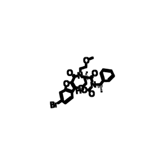 COCCN1C(=O)c2oc3cc(Br)ccc3c2OC[C@]1(C)C(=O)N(C(=O)O)[C@@H](C)c1ccccc1